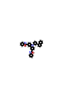 c1cc(-c2cccc3ccccc23)cc(-n2c3ccc(-c4nc5ccccc5o4)cc3c3cc(-c4nc5ccccc5o4)ccc32)c1